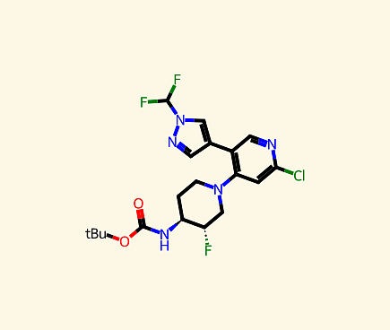 CC(C)(C)OC(=O)N[C@H]1CCN(c2cc(Cl)ncc2-c2cnn(C(F)F)c2)C[C@@H]1F